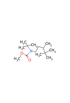 COC(=O)N(CCC(C)C(C)(C)C)C(C)(C)C